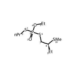 CCCSP(=O)(OCC)SC[C@H](CC)SC